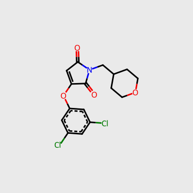 O=C1C=C(Oc2cc(Cl)cc(Cl)c2)C(=O)N1CC1CCOCC1